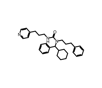 O=C(NCCCc1ccncc1)N(CCCc1ccccc1)C(c1ccccc1)C1CCCCC1